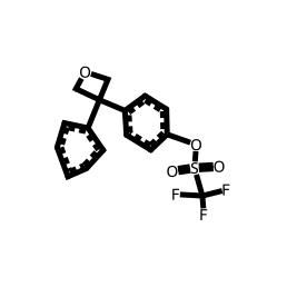 O=S(=O)(Oc1ccc(C2(c3ccccc3)COC2)cc1)C(F)(F)F